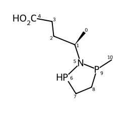 C[C@H](CCC(=O)O)N1PCCP1C